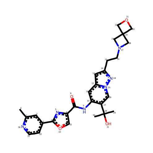 Cc1cc(-c2nc(C(=O)Nc3cc4cc(CCN5CC6(COC6)C5)nn4cc3C(C)(C)O)co2)ccn1